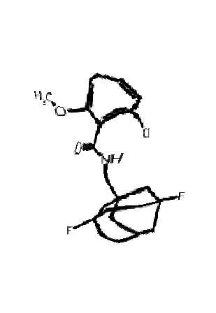 COc1cccc(Cl)c1C(=O)NCC12CC3CC(F)(CC(F)(C3)C1)C2